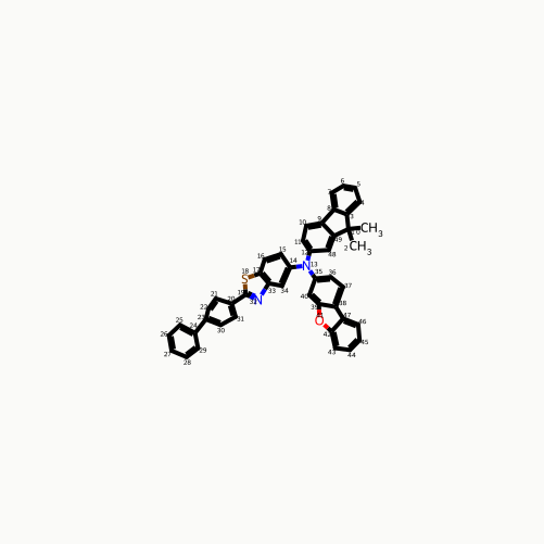 CC1(C)c2ccccc2-c2ccc(N(c3ccc4sc(-c5ccc(-c6ccccc6)cc5)nc4c3)c3ccc4c(c3)oc3ccccc34)cc21